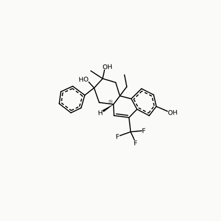 CCC12CC(C)(O)C(O)(c3ccccc3)C[C@H]1C=C(C(F)(F)F)c1cc(O)ccc12